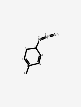 CC1=CCC(N=[N+]=[N-])C=C1